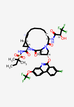 CCC(C)(C)S(=O)(=O)NC(=O)[C@@]12C[C@H]1/C=C\CCCCC[C@H](NC(=O)[C@H](O)C(F)(F)F)C(=O)N1C[C@H](Oc3nc4cc(OC(F)(F)F)ccc4c4ccc(F)cc34)C[C@H]1C(=O)N2